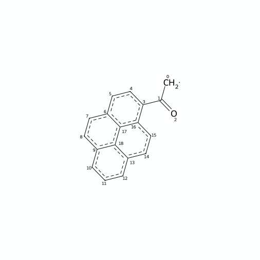 [CH2]C(=O)c1ccc2ccc3cccc4ccc1c2c34